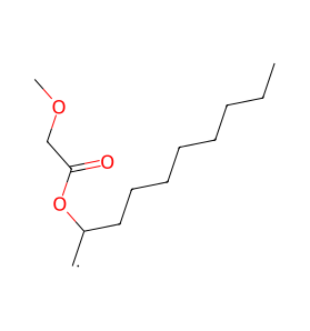 [CH2]C(CCCCCCCC)OC(=O)COC